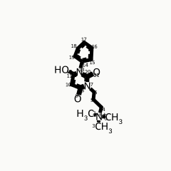 C[N+](C)(C)CCCn1c(=O)cc(O)n(-c2ccccc2)c1=O